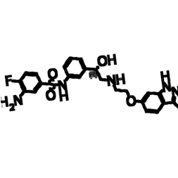 Cc1n[nH]c2cc(OCCNC[C@H](O)c3cccc(NS(=O)(=O)c4ccc(F)c(N)c4)c3)ccc12